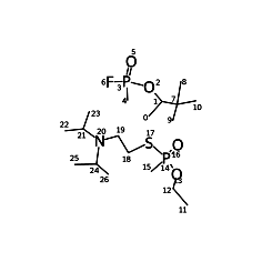 CC(OP(C)(=O)F)C(C)(C)C.CCOP(C)(=O)SCCN(C(C)C)C(C)C